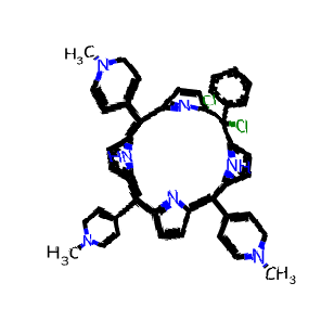 CN1C=CC(C2=C3C=CC(=N3)C(C3=CCN(C)C=C3)=c3ccc([nH]3)=C(C3=CCN(C)C=C3)C3=NC(Cl)(C=C3)C(Cl)(c3ccccc3)c3ccc2[nH]3)=CC1